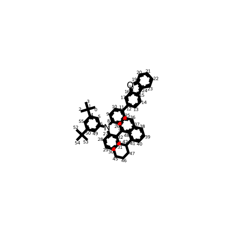 CC(C)(C)c1cc(N(c2ccc(-c3ccc4c(c3)oc3ccccc34)cc2)c2ccccc2-c2cccc3cccc(C4CCCCC4)c23)cc(C(C)(C)C)c1